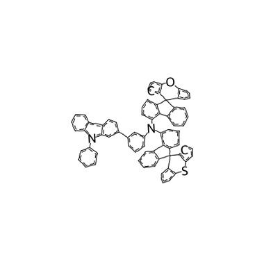 c1ccc(-n2c3ccccc3c3ccc(-c4cccc(N(c5cccc6c5-c5ccccc5C65c6ccccc6Oc6ccccc65)c5cccc6c5-c5ccccc5C65c6ccccc6Sc6ccccc65)c4)cc32)cc1